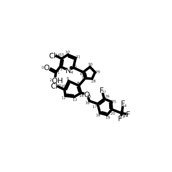 O=C(O)c1nc(C2=C(c3cc(Cl)ccc3OCc3ccc(C(F)(F)F)cc3F)CCC2)ccc1Cl